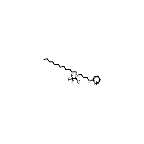 CCCCCCCCCCCCN(CCCSc1ccccn1)C(=O)C(F)(F)F